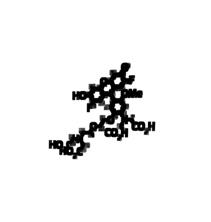 COc1cc(N(CC(=O)O)CC(=O)O)c(OCCOCCN(CC(=O)O)CC(=O)O)cc1-c1c2cc(F)c(=O)cc-2oc2cc(O)c(F)cc12